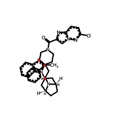 Cc1nc2ccccc2n1[C@H]1C[C@H]2CC[C@@H](C1)N2CCC1(c2ccccc2)CCN(C(=O)c2cn3nc(Cl)ccc3n2)CC1